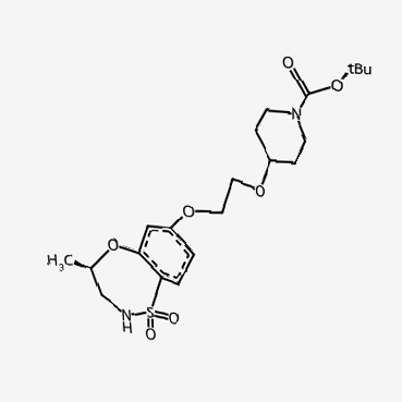 C[C@@H]1CNS(=O)(=O)c2ccc(OCCOC3CCN(C(=O)OC(C)(C)C)CC3)cc2O1